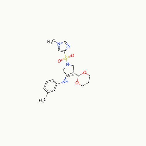 Cc1cccc(N[C@H]2CN(S(=O)(=O)c3cn(C)cn3)C[C@@H]2C2OCCCO2)c1